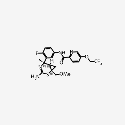 COC[C@]12C[C@H]1[C@@](C)(c1cc(NC(=O)c3ccc(OCC(F)(F)F)cn3)ccc1F)N=C(N)S2